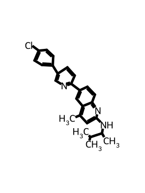 Cc1cc(NC(C)C(C)C)nc2ccc(-c3ccc(-c4ccc(Cl)cc4)cn3)cc12